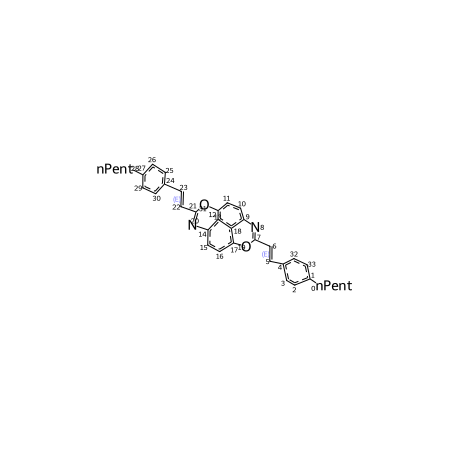 CCCCCc1ccc(/C=C/C2=Nc3ccc4c5c(ccc(c35)O2)N=C(/C=C/c2ccc(CCCCC)cc2)O4)cc1